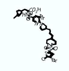 Cc1ccc(CC(NS(=O)(=O)c2cnc(N3CCC(CCCC4CCN(S(=O)(=O)c5cc(Br)c(Cl)s5)CC4)CC3)c(Br)c2)C(=O)O)cc1